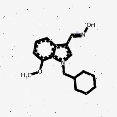 COc1cccc2c(/C=N/O)cn(CC3CCCCC3)c12